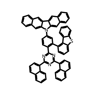 c1ccc2cc3c(cc2c1)c1cc2ccccc2cc1n3-c1ccc(-c2nc(-c3cccc4ccccc34)nc(-c3cccc4ccccc34)n2)c(-c2cccc3sc4ccccc4c23)c1